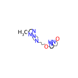 Cc1ccnc(N2CCN(CCCCOc3ccc4c(n3)NC(=O)CC4)CC2)n1